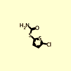 NC(=O)Sc1ccc(Cl)s1